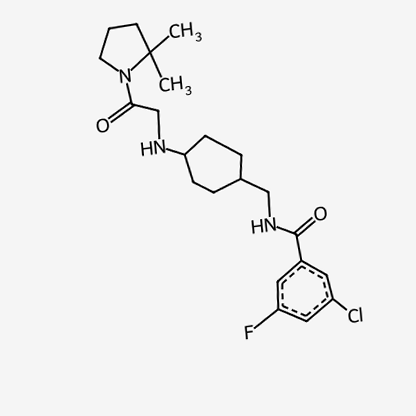 CC1(C)CCCN1C(=O)CNC1CCC(CNC(=O)c2cc(F)cc(Cl)c2)CC1